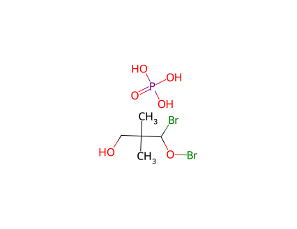 CC(C)(CO)C(Br)OBr.O=P(O)(O)O